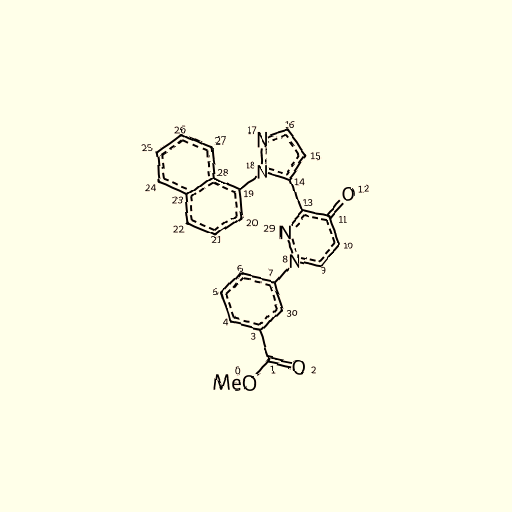 COC(=O)c1cccc(-n2ccc(=O)c(-c3ccnn3-c3cccc4ccccc34)n2)c1